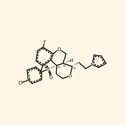 O=S(=O)(c1ccc(Cl)cc1)[C@@]12CCO[C@@H](CCn3cccc3)[C@@H]1COc1c(F)ccc(F)c12